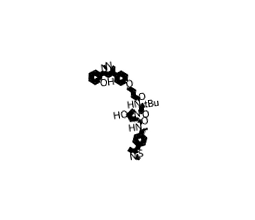 Cc1ncsc1-c1ccc([C@H](C)NC(=O)[C@@H]2C[C@@H](O)CN2C(=O)C(NC(=O)CCCOc2ccc(-c3cnnc(-c4ccccc4O)c3)cc2)C(C)(C)C)cc1